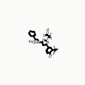 O=C(O)C(F)(F)F.O[C@@H](CNc1cc(-c2ccc(Cl)c(C(F)(F)F)c2)ncn1)c1ccccc1